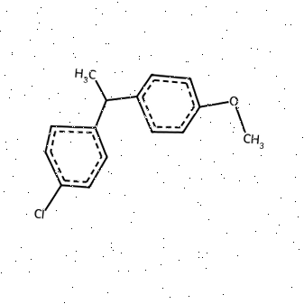 COc1ccc(C(C)c2ccc(Cl)cc2)cc1